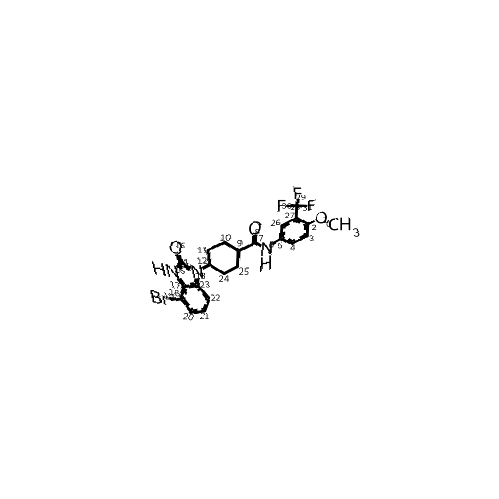 COc1ccc(NC(=O)C2CCC(n3c(=O)[nH]c4c(Br)cccc43)CC2)cc1C(F)(F)F